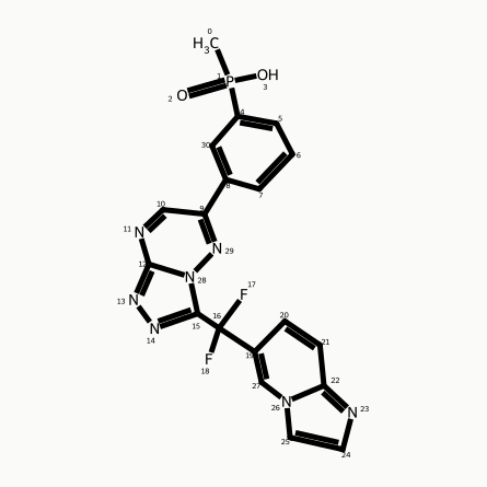 CP(=O)(O)c1cccc(-c2cnc3nnc(C(F)(F)c4ccc5nccn5c4)n3n2)c1